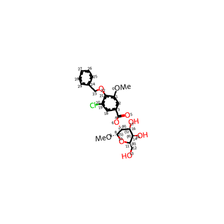 COc1cc(C(=O)O[C@H]2[C@@H](OC)O[C@H](CO)[C@H](O)[C@@H]2O)cc(Cl)c1OCc1ccccc1